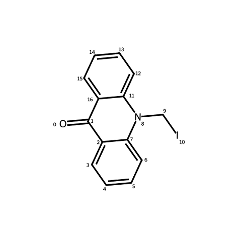 O=c1c2ccccc2n(CI)c2ccccc12